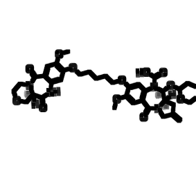 C=C1C[C@H]2[C@H](OC3CCCCO3)N(C(=O)O)c3cc(OCCCCCOc4cc5c(cc4OC)C(=O)N4CCOC[C@H]4C(=O)N5)c(OC)cc3C(=O)N2C1